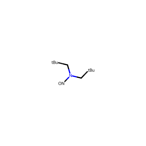 CC(C)(C)CN(CC(C)(C)C)N=O